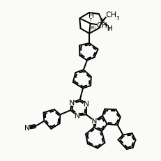 C[C@H]1CCC2CC(c3ccc(-c4ccc(-c5nc(-c6ccc(C#N)cc6)nc(-n6c7ccccc7c7c(-c8ccccc8)cccc76)n5)cc4)cc3)(C1)[C@@H]2C